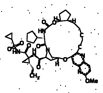 C=C[C@@H]1C[C@]1(NC(=O)[C@@H]1C[C@@H]2CN1C(=O)[C@H](C1CCCC1)NC(=O)O[C@@H]1CCC[C@H]1CCCCCc1nc3ccc(OC)nc3cc1O2)C(=O)NS(=O)(=O)C1CC1